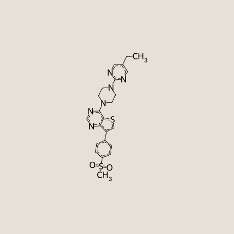 CCc1cnc(N2CCN(c3ncnc4c(-c5ccc(S(C)(=O)=O)cc5)csc34)CC2)nc1